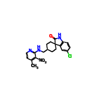 Cc1ccnc(NCC2CCC3(CC2)C(=O)Nc2ccc(Cl)cc23)c1[N+](=O)[O-]